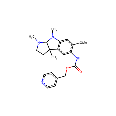 COc1cc2c(cc1NC(=O)OCc1ccncc1)C1(C)CCN(C)C1N2C